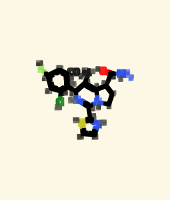 CCOC(=O)C1=C2[C@@H](C(N)=O)CCN2C(c2nccs2)=N[C@H]1c1ccc(F)cc1Cl